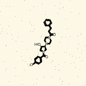 O=C(CCc1ccccc1)N1CCN([C@H]2CN(C(=O)c3ccc(Cl)cc3)C[C@@H]2O)CC1